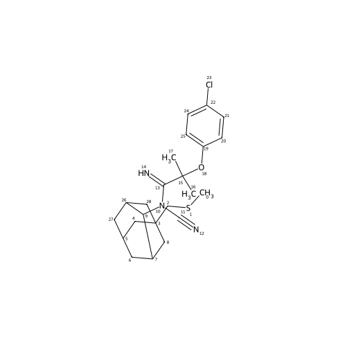 CSCC12CC3CC(C1)C(N(C#N)C(=N)C(C)(C)Oc1ccc(Cl)cc1)C(C3)C2